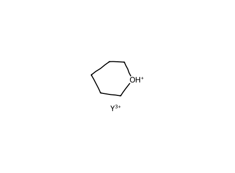 C1CC[OH+]CC1.[Y+3]